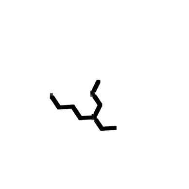 CCN(CCCI)CSC